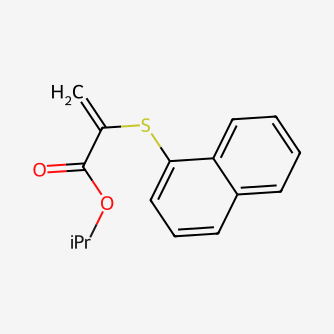 C=C(Sc1cccc2ccccc12)C(=O)OC(C)C